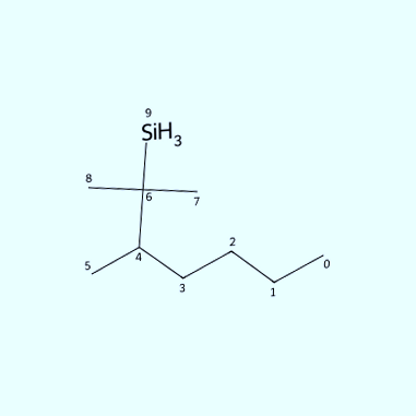 CCCCC(C)C(C)(C)[SiH3]